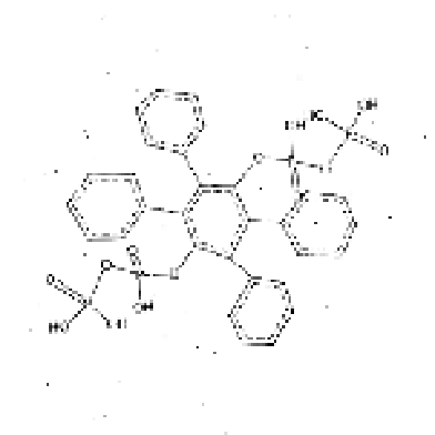 O=P(O)(O)OP(=O)(O)Oc1c(-c2ccccc2)c(-c2ccccc2)c(OP(=O)(O)OP(=O)(O)O)c(-c2ccccc2)c1-c1ccccc1